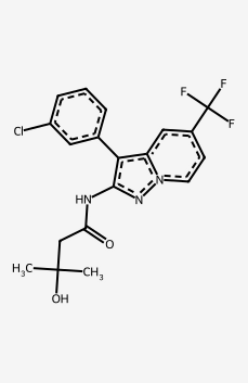 CC(C)(O)CC(=O)Nc1nn2ccc(C(F)(F)F)cc2c1-c1cccc(Cl)c1